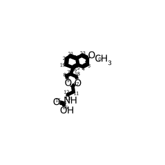 COc1ccc2c(C3COC(CCNC(=O)O)OC3)cccc2c1